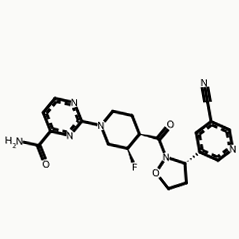 N#Cc1cncc([C@@H]2CCON2C(=O)[C@@H]2CCN(c3nccc(C(N)=O)n3)C[C@@H]2F)c1